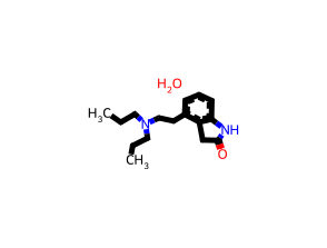 CCCN(CCC)CCc1cccc2c1CC(=O)N2.O